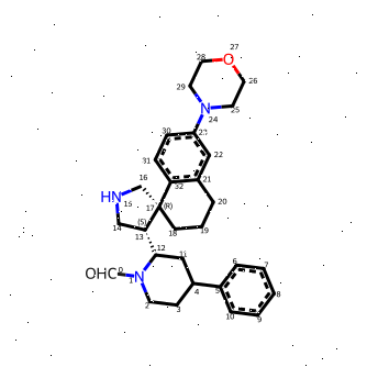 O=CN1CCC(c2ccccc2)CC1[C@@H]1CNC[C@]12CCCc1cc(N3CCOCC3)ccc12